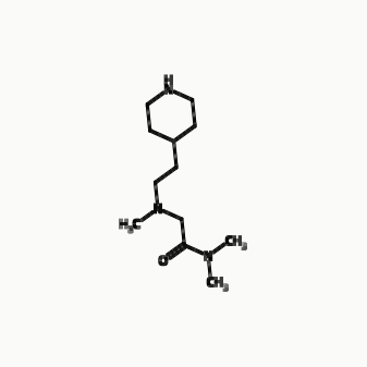 CN(CCC1CCNCC1)CC(=O)N(C)C